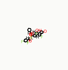 C[C@@H]1C[C@H]2[C@@H]3C[C@H](F)C4=CC(=O)C=C[C@]4(C)[C@@]3(F)[C@@H](O)C[C@]2(C)[C@@]1(OC(=O)C1CCCCC1)C(=O)SCC(=O)c1ccc(F)cc1F